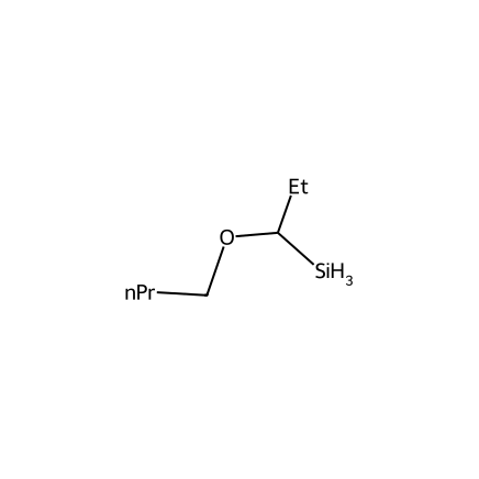 [CH2]CC([SiH3])OCCCC